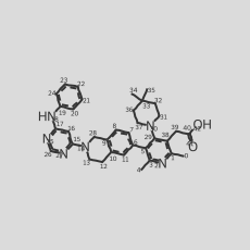 Cc1nc(C)c(-c2ccc3c(c2)CCN(c2cc(Nc4ccccc4)ncn2)C3)c(N2CCC(C)(C)CC2)c1CC(=O)O